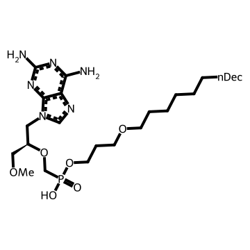 CCCCCCCCCCCCCCCCOCCCOP(=O)(O)CO[C@@H](COC)Cn1cnc2c(N)nc(N)nc21